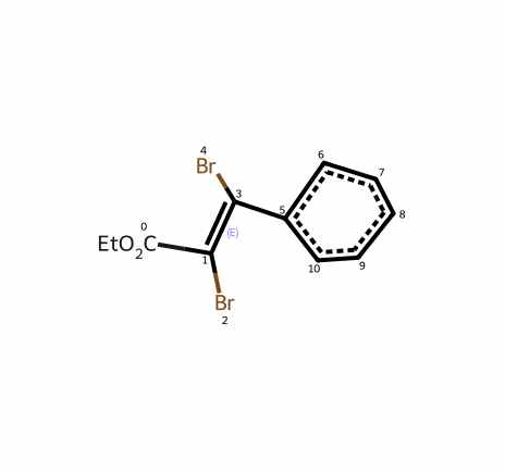 CCOC(=O)/C(Br)=C(\Br)c1ccccc1